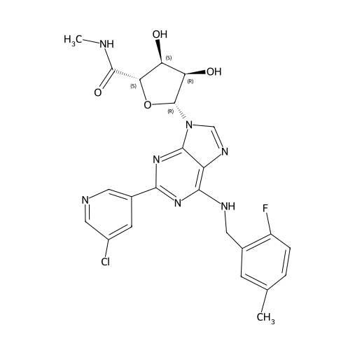 CNC(=O)[C@H]1O[C@@H](n2cnc3c(NCc4cc(C)ccc4F)nc(-c4cncc(Cl)c4)nc32)[C@H](O)[C@@H]1O